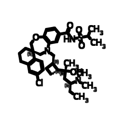 CC[C@@H](C[C@@](C)(O)[C@@H]1CC[C@H]1CN1C[C@@]2(CCCc3cc(Cl)ccc32)COc2ccc(C(=O)NS(=O)(=O)C(C)C)cc21)N(C)C